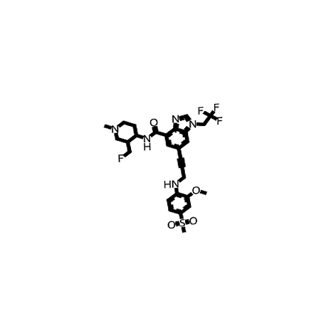 COc1cc(S(C)(=O)=O)ccc1NCC#Cc1cc(C(=O)NC2CCN(C)CC2CF)c2ncn(CC(F)(F)F)c2c1